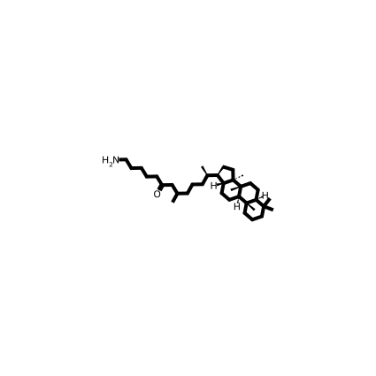 CC(CCC[C@@H](C)[C@H]1CC[C@]2(C)[C@@H]1CC[C@@H]1[C@@]3(C)CCCC(C)(C)[C@@H]3CC[C@]12C)CC(=O)CCCCCN